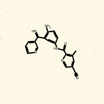 Cc1cc(C#N)cnc1C(=O)Nc1ccc(N)c(C(=N)c2cccnc2)c1